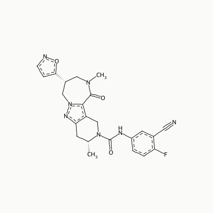 C[C@@H]1Cc2nn3c(c2CN1C(=O)Nc1ccc(F)c(C#N)c1)C(=O)N(C)C[C@@H](c1ccno1)C3